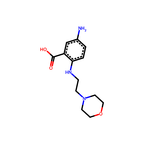 Nc1ccc(NCCN2CCOCC2)c(C(=O)O)c1